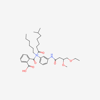 CCCCCC[N+](C(=O)CCCCC(C)C)(C(=O)c1ccccc1C(=O)O)c1cccc(NC(=O)CC(COCC)OC)c1